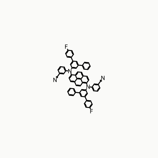 N#Cc1cccc(N(c2cc(-c3ccccc3)cc(-c3ccc(F)cc3)c2)c2ccc3ccc4c(N(c5cccc(C#N)c5)c5cc(-c6ccccc6)cc(-c6ccc(F)cc6)c5)ccc5ccc2c3c54)c1